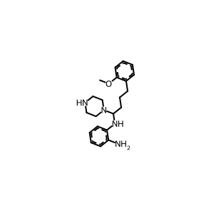 COc1ccccc1CCCC(Nc1ccccc1N)N1CCNCC1